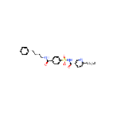 CCOC(=O)c1ccc(C(=O)NS(=O)(=O)c2ccc(C(=O)NCCCCc3ccccc3)cc2)cn1